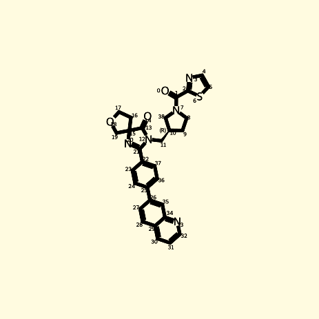 O=C(c1nccs1)N1CC[C@@H](CN2C(=O)C3(CCOC3)N=C2c2ccc(-c3ccc4cccnc4c3)cc2)C1